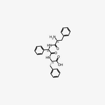 N[C@@H](Cc1ccccc1)C(=O)N[C@@H](C(=O)N[C@@H](Cc1ccccc1)C(=O)O)c1ccccc1